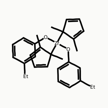 CCc1cccc([O][Zr]([O]c2cccc(CC)c2)([C]2(C)C=CC=C2C)[C]2(C)C=CC=C2C)c1